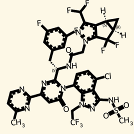 Cc1ccnc(-c2cc(=O)n(-c3ccc(Cl)c4c(NS(C)(=O)=O)nn(CC(F)(F)F)c34)c([C@H](Cc3cc(F)cc(F)c3)NC(=O)Cn3nc(C(F)F)c4c3C(F)(F)[C@@H]3C[C@H]43)n2)n1